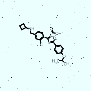 CC(C)Oc1ccc(-c2nc(-c3ccc(CNC4CCC4)cc3Cl)no2)cc1.O=CO